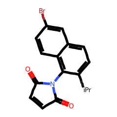 CC(C)c1ccc2cc(Br)ccc2c1N1C(=O)C=CC1=O